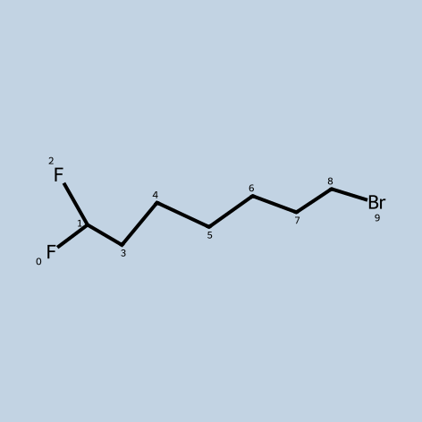 FC(F)CCCCCCBr